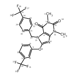 Cn1c(=O)c2c(nc(Oc3cccc(C(F)(F)F)c3)n2Cc2ccc(C(F)(F)F)cn2)n(C)c1=O